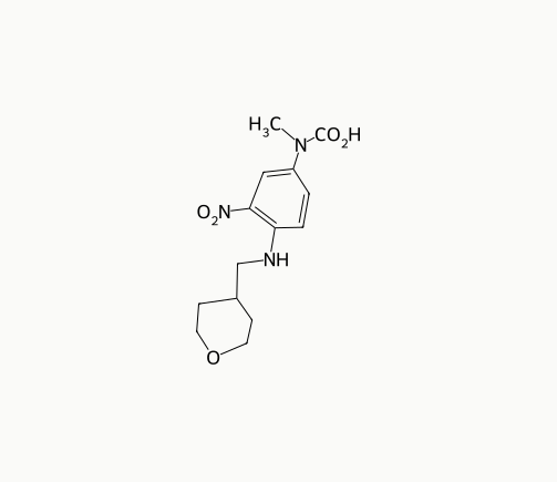 CN(C(=O)O)c1ccc(NCC2CCOCC2)c([N+](=O)[O-])c1